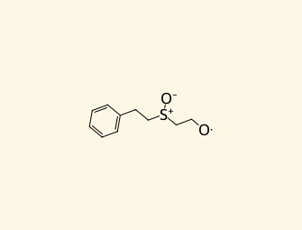 [O]CC[S+]([O-])CCc1ccccc1